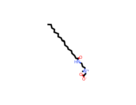 CCCCCCCCC=CCCCCCCCC(=O)NCCC[N+](C)(C)CC(=O)[O-]